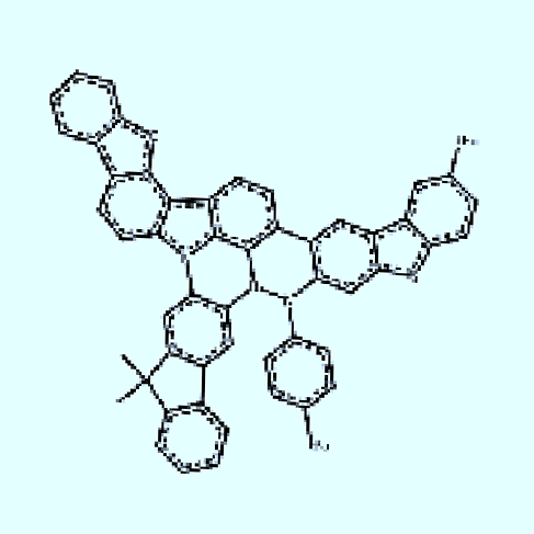 CC(C)(C)c1ccc(N2B3c4cc5c(cc4-n4c6ccc7c8ccccc8oc7c6c6ccc(c3c64)-c3cc4c(cc32)sc2ccc(C(C)(C)C)cc24)C(C)(C)c2ccccc2-5)cc1